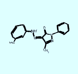 CC1=NN(c2ccccc2)C(=O)C1=NNc1cccc(O)c1